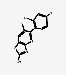 Oc1cc(Cl)ccc1-c1nc2nc(S)oc2cc1Cl